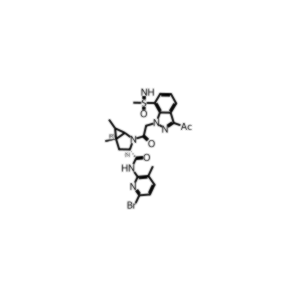 CC(=O)c1nn(CC(=O)N2C3C(C)[C@@]3(C)C[C@H]2C(=O)Nc2nc(Br)ccc2C)c2c(S(C)(=N)=O)cccc12